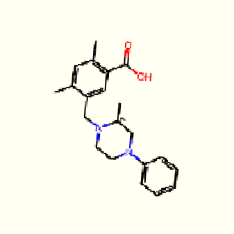 Cc1cc(C)c(C(=O)O)cc1CN1CCN(c2ccccc2)C[C@@H]1C